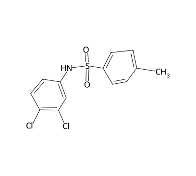 Cc1ccc(S(=O)(=O)Nc2ccc(Cl)c(Cl)c2)cc1